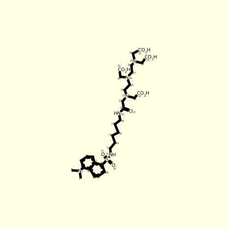 CN(C)c1cccc2c(S(=O)(=O)NCCCCCCNC(=O)CN(CCN(CCN(CC(=O)O)CC(=O)O)CC(=O)O)CC(=O)O)cccc12